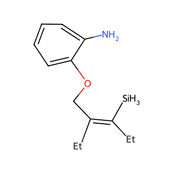 CCC([SiH3])=C(CC)COc1ccccc1N